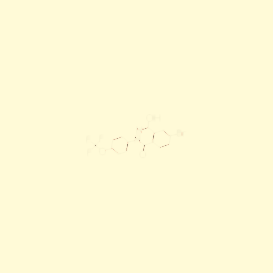 O=c1c2ccc(Br)cc2c(O)nn1-c1ccc(OC(F)(F)F)cc1